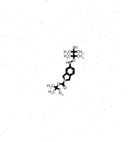 CC(C)(C)OC(=O)N1Cc2ccc(BOC(C)(C)C(C)(C)S)cc2C1